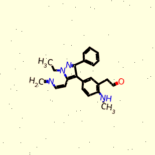 C=N/C=C\c1c(-c2ccc(NC)c(CC=O)c2)c(-c2ccccc2)nn1CC